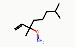 C=CC(C)(CCCC(C)C)ON